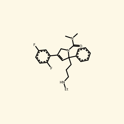 CCNCCCC1(c2ccccc2)C=C(c2cc(F)ccc2F)CN1C(=O)N(C)C